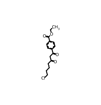 CCOC(=O)c1ccc(C(=O)CC(=O)CCCCCl)cc1